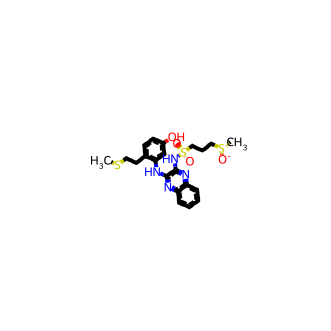 CSCCc1ccc(O)cc1Nc1nc2ccccc2nc1NS(=O)(=O)CCC[S+](C)[O-]